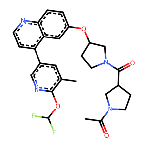 CC(=O)N1CCC(C(=O)N2CCC(Oc3ccc4nccc(-c5cnc(OC(F)F)c(C)c5)c4c3)C2)C1